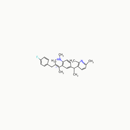 CNc1ccc(C(C)c2ccc(C)nc2C)cc1/C(C)=C(\C)Cc1ccc(F)cc1